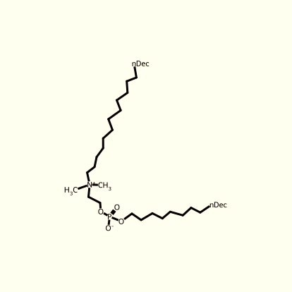 CCCCCCCCCCCCCCCCCCCCCC[N+](C)(C)CCOP(=O)([O-])OCCCCCCCCCCCCCCCCCC